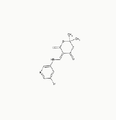 CC1(C)OC(=O)C(=CNc2cncc(Br)c2)C(=O)O1